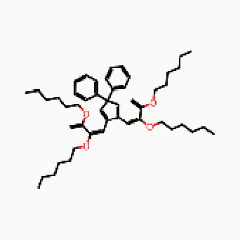 C=C(OCCCCCC)/C(=C\C1=CC(c2ccccc2)(c2ccccc2)C=C1/C=C(/OCCCCCC)C(=C)OCCCCCC)OCCCCCC